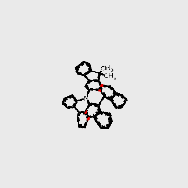 CC1(C)c2ccccc2-c2cc(N(c3ccccc3-c3ccccc3)c3ccc4ccccc4c3-c3cccc4ccccc34)ccc21